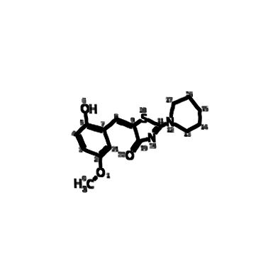 COc1ccc(O)c(C=C2SC(N3CCCCC3)=NC2=O)c1